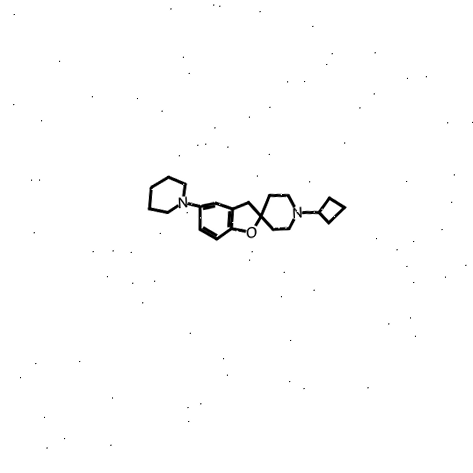 c1cc2c(cc1N1CCCCC1)CC1(CCN(C3CCC3)CC1)O2